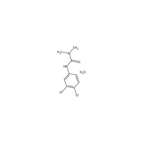 CN(C)C(=O)Nc1ccc(Cl)c(Cl)c1.O